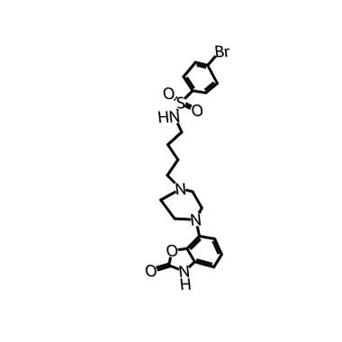 O=c1[nH]c2cccc(N3CCN(CCCCNS(=O)(=O)c4ccc(Br)cc4)CC3)c2o1